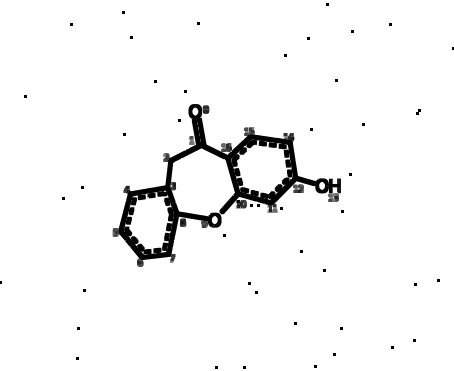 O=C1Cc2ccccc2Oc2cc(O)ccc21